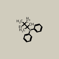 CCC(C)(C)C(C)(C)N(c1ccccc1)c1ccccc1